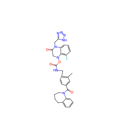 Cc1cc(C(=O)N2CCCCc3ccccc32)ccc1CNC(=O)ON1CC(=O)N(Cc2nnn[nH]2)c2cccc(F)c21